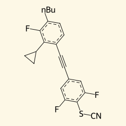 CCCCc1ccc(C#Cc2cc(F)c(SC#N)c(F)c2)c(C2CC2)c1F